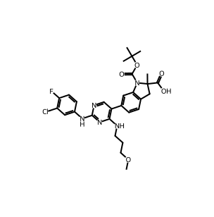 COCCCNc1nc(Nc2ccc(F)c(Cl)c2)ncc1-c1ccc2c(c1)N(C(=O)OC(C)(C)C)C(C)(C(=O)O)C2